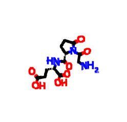 NCC(=O)N1C(=O)CC[C@H]1C(=O)N[C@@H](CCC(=O)O)C(=O)O